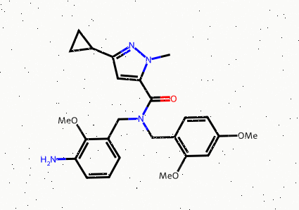 COc1ccc(CN(Cc2cccc(N)c2OC)C(=O)c2cc(C3CC3)nn2C)c(OC)c1